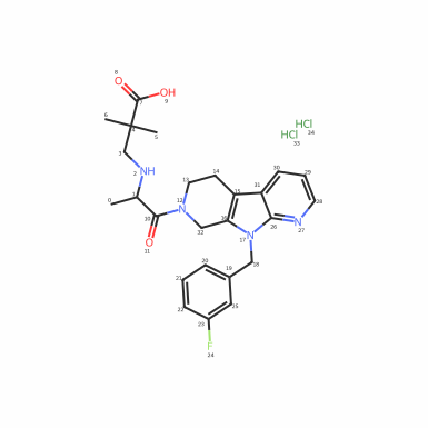 CC(NCC(C)(C)C(=O)O)C(=O)N1CCc2c(n(Cc3cccc(F)c3)c3ncccc23)C1.Cl.Cl